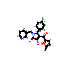 Cc1ccc(C(=O)C2=C(O)C(=O)N(Cc3cccnc3)C2c2ccc(F)cc2)o1